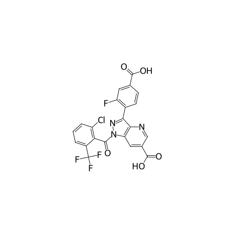 O=C(O)c1ccc(-c2nn(C(=O)c3c(Cl)cccc3C(F)(F)F)c3cc(C(=O)O)cnc23)c(F)c1